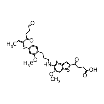 C/C=C(\Sc1ccc(CCCNc2nc3cc(C(=O)CCC(=O)O)sc3cc2OC)c(OC)c1)C(=O)CCC=O